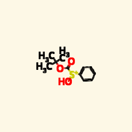 CC(C)(C)OC(=O)[S+](O)c1ccccc1